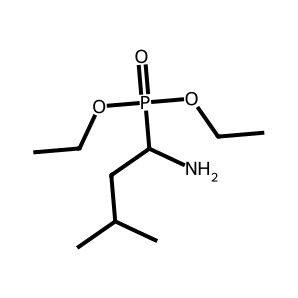 CCOP(=O)(OCC)C(N)CC(C)C